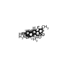 C[C@@H]1CC[C@]2(C(=O)O)CC[C@]3(C)C(=CC[C@@H]4[C@@]5(C)CC[C@H](O)C(C)(C)[C@@H]5CC[C@]43C)C2[C@H]1C